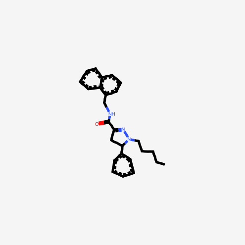 CCCCCN1N=C(C(=O)NCc2cccc3ccccc23)CC1c1ccccc1